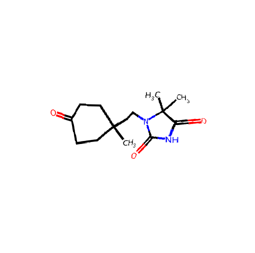 CC1(CN2C(=O)NC(=O)C2(C)C)CCC(=O)CC1